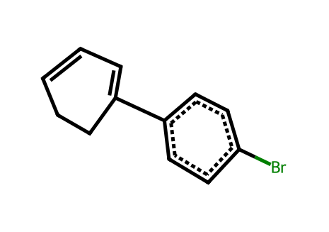 Brc1ccc(C2=CC=CCC2)cc1